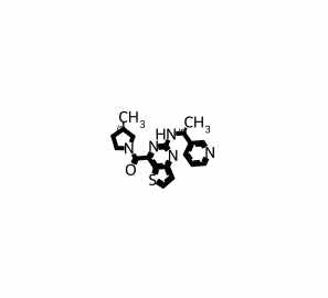 C[C@H]1CCN(C(=O)c2nc(N[C@@H](C)c3cccnc3)nc3ccsc23)C1